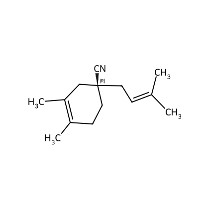 CC(C)=CC[C@]1(C#N)CCC(C)=C(C)C1